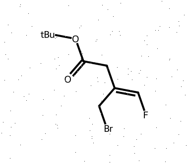 CC(C)(C)OC(=O)CC(=CF)CBr